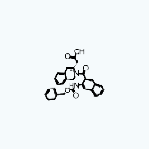 O=C(O)C[C@H]1Cc2ccccc2CN1C(=O)c1cc2ccccc2cc1NC(=O)OCc1ccccc1